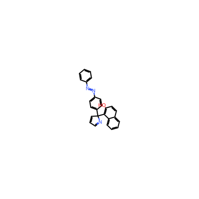 Oc1ccc2ccccc2c1C1(c2ccc(N=Nc3ccccc3)cc2)C=CC=N1